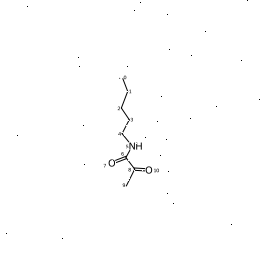 [CH2]CCCCNC(=O)C(C)=O